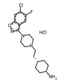 Cl.N[C@H]1CC[C@H](CCN2CCN(c3noc4cc(Cl)c(F)cc34)CC2)CC1